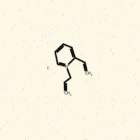 C=CC[n+]1ccccc1C=C.[I-]